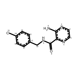 Nc1nccnc1C(=O)NCc1ccc(Cl)cc1